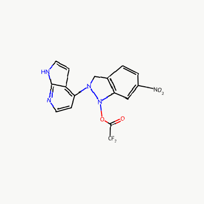 O=C(ON1c2cc([N+](=O)[O-])ccc2CN1c1ccnc2[nH]ccc12)C(F)(F)F